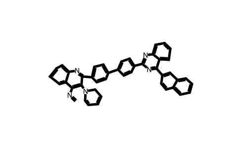 C=Nc1c(N2C=CC=CC2)c(-c2ccc(-c3ccc(-c4nc(-c5ccc6ccccc6c5)c5ccccc5n4)cc3)cc2)nc2ccccc12